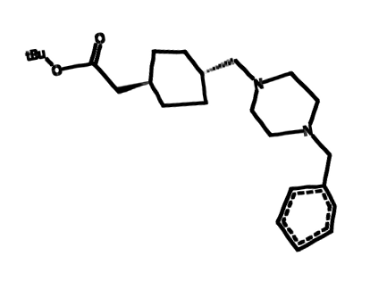 CC(C)(C)OC(=O)C[C@H]1CC[C@H](CN2CCN(Cc3ccccc3)CC2)CC1